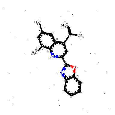 C=C(C)c1cc(-c2nc3ccccc3o2)nc2c(C)cc(C)cc12